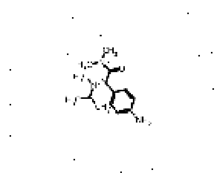 CC(C)N(C)[C@H](C(=O)N(C)C)c1ccc(N)cc1